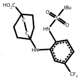 CC(C)(C)S(=O)(=O)Nc1ccc(C(F)(F)F)cc1NC12CCC(C(=O)O)(CC1)CC2